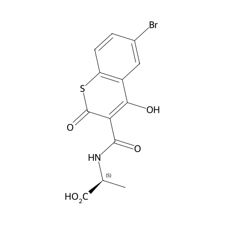 C[C@H](NC(=O)c1c(O)c2cc(Br)ccc2sc1=O)C(=O)O